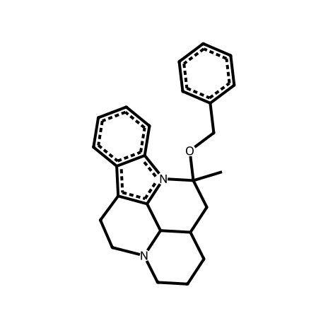 CC1(OCc2ccccc2)CC2CCCN3CCc4c(n1c1ccccc41)C23